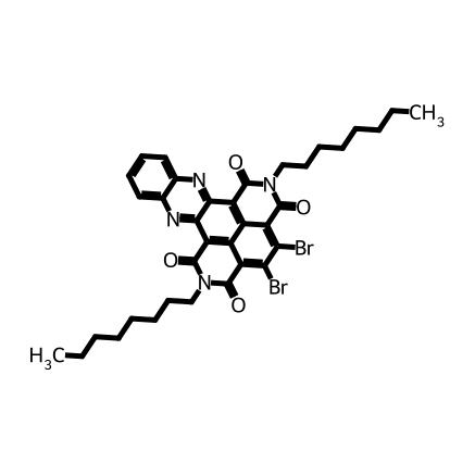 CCCCCCCCN1C(=O)c2c(Br)c(Br)c3c4c(c5nc6ccccc6nc5c(c24)C1=O)C(=O)N(CCCCCCCC)C3=O